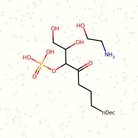 CCCCCCCCCCCCCC(=O)C(OP(=O)(O)O)C(O)CO.NCCO